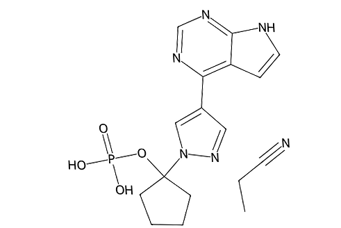 CCC#N.O=P(O)(O)OC1(n2cc(-c3ncnc4[nH]ccc34)cn2)CCCC1